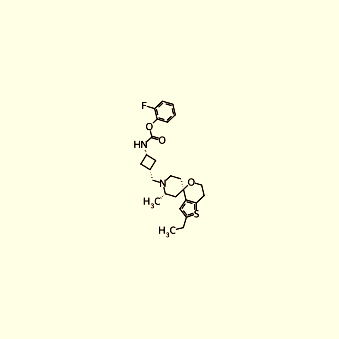 CCc1cc2c(s1)CCO[C@@]21CCN(C[C@H]2C[C@@H](NC(=O)Oc3ccccc3F)C2)[C@@H](C)C1